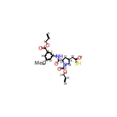 C=CCOC(=O)c1cc(NC(=O)[C@@H]2C[C@@H](CC(=O)S)CN2C(=O)OCC=C)cc(OC)c1